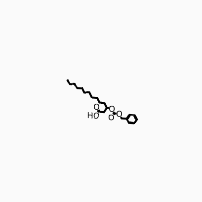 CCCCCCCCCCCC(CC(=O)O)OC(=O)OCc1ccccc1